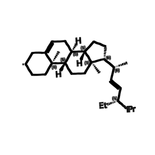 CC[C@H](C=C[C@@H](C)[C@H]1CC[C@H]2[C@@H]3CC=C4C[CH]CC[C@]4(C)[C@H]3CC[C@]12C)C(C)C